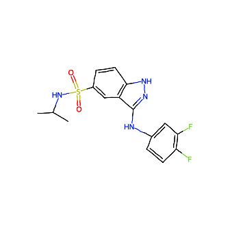 CC(C)NS(=O)(=O)c1ccc2[nH]nc(Nc3ccc(F)c(F)c3)c2c1